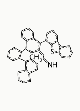 C=c1c(-c2ccccc2-c2cccc3ccccc23)c2ccccc2c(-c2cccc3c2sc2ccccc23)/c1=C/C=N